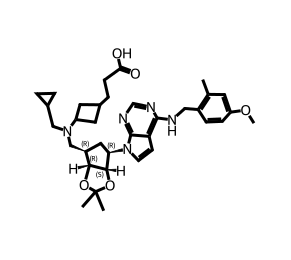 COc1ccc(CNc2ncnc3c2ccn3[C@@H]2C[C@H](CN(CC3CC3)C3CC(CCC(=O)O)C3)[C@H]3OC(C)(C)O[C@H]32)c(C)c1